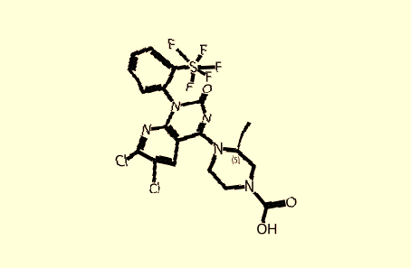 C[C@H]1CN(C(=O)O)CCN1c1nc(=O)n(-c2ccccc2S(F)(F)(F)(F)F)c2nc(Cl)c(Cl)cc12